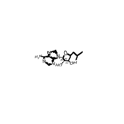 CC(C)CC1O[C@@H](n2cnc3c(N)ncnc32)[C@H](O)[C@@H]1O